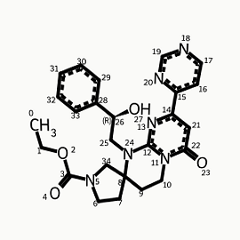 CCOC(=O)N1CCC2(CCn3c(nc(-c4ccncn4)cc3=O)N2C[C@H](O)c2ccccc2)C1